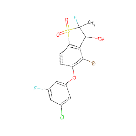 CC1(F)C(O)c2c(ccc(Oc3cc(F)cc(Cl)c3)c2Br)S1(=O)=O